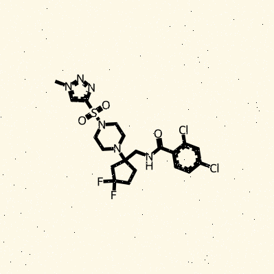 Cn1cc(S(=O)(=O)N2CCN(C3(CNC(=O)c4ccc(Cl)cc4Cl)CCC(F)(F)C3)CC2)nn1